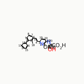 COc1nc(/C=C/c2cccc(-c3ccccc3)c2C)ccc1N(C)[C@H](CO)C(=O)O